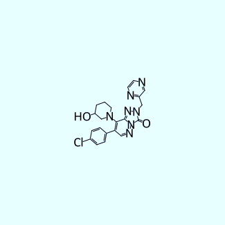 O=c1n(Cc2cnccn2)nc2c(N3CCCC(O)C3)c(-c3ccc(Cl)cc3)cnn12